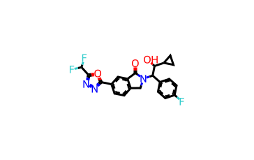 O=C1c2cc(-c3nnc(C(F)F)o3)ccc2CN1C(c1ccc(F)cc1)C(O)C1CC1